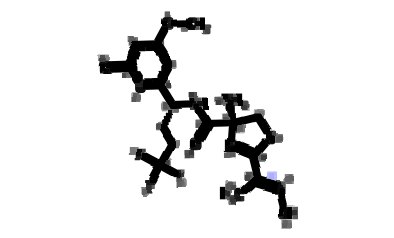 COc1cc([C@@H](CCC(F)(F)F)NC(=O)[C@]2(N)CSC(/C(C)=N/O)=N2)oc(=O)c1